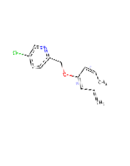 C=C/C=C(\C=C/C)OCc1ccc(Cl)cn1